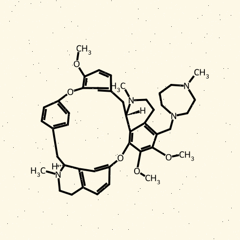 COc1ccc2cc1Oc1ccc(cc1)C[C@H]1c3cc(ccc3CCN1C)Oc1c(OC)c(OC)c(CN3CCCN(C)CC3)c3c1[C@H](C2)N(C)CC3